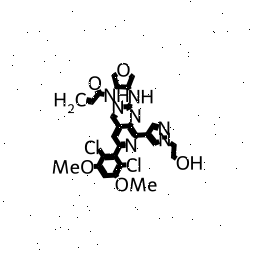 C=CC(=O)N[C@H]1COCC1Nc1ncc2cc(-c3c(Cl)c(OC)cc(OC)c3Cl)nc(-c3cnn(CCO)c3)c2n1